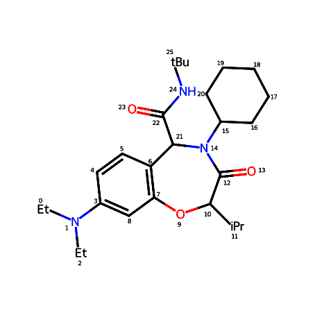 CCN(CC)c1ccc2c(c1)OC(C(C)C)C(=O)N(C1CCCCC1)C2C(=O)NC(C)(C)C